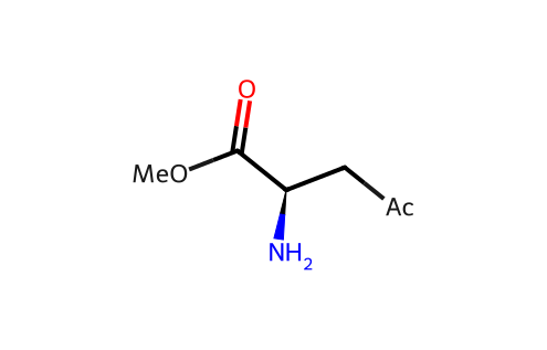 COC(=O)[C@H](N)CC(C)=O